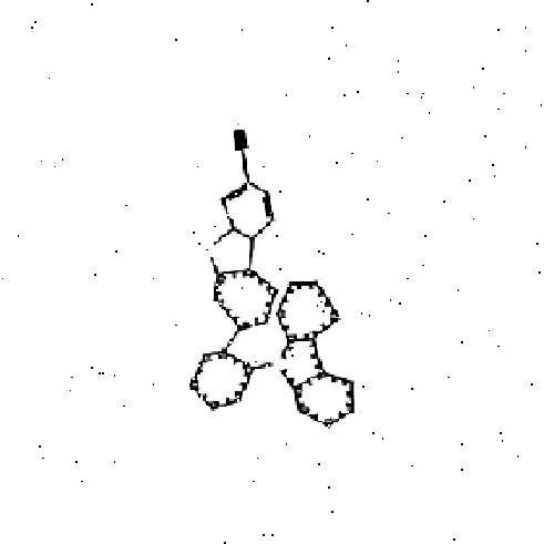 N#CC1=CC2Sc3cc(-c4ccccc4-n4c5ccccc5c5ccccc54)ccc3C2C=C1